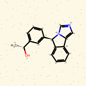 C[C@@H](O)c1cccc([C@@H]2c3ccccc3-c3cncn32)c1